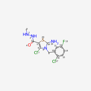 CNNC(=O)C1=C(Cl)N(Cc2cc(F)ccc2Cl)C(N)S1